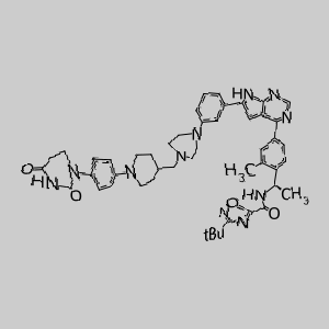 Cc1cc(-c2ncnc3[nH]c(-c4cccc(N5CCN(CC6CCN(c7ccc(N8CCC(=O)NC8=O)cc7)CC6)CC5)c4)cc23)ccc1[C@@H](C)NC(=O)c1nc(C(C)(C)C)no1